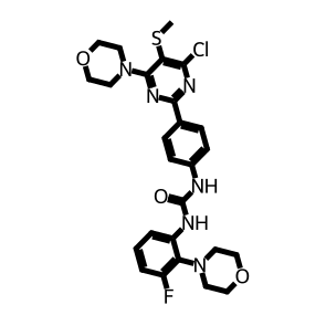 CSc1c(Cl)nc(-c2ccc(NC(=O)Nc3cccc(F)c3N3CCOCC3)cc2)nc1N1CCOCC1